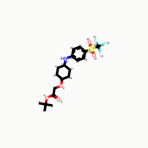 CC(C)(C)OC(=O)COC1CCC(Nc2ccc(S(=O)(=O)C(F)(F)F)cc2)CC1